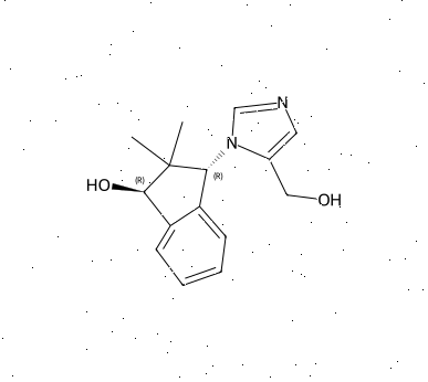 CC1(C)[C@H](O)c2ccccc2[C@H]1n1cncc1CO